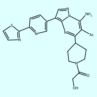 CC(=O)c1c(C2CCN(C(=O)CO)CC2)nc2c(-c3ccc(-c4nccs4)nc3)cnn2c1N